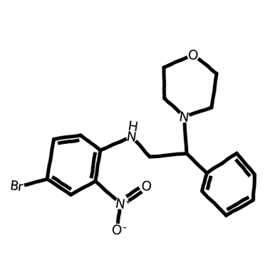 O=[N+]([O-])c1cc(Br)ccc1NCC(c1ccccc1)N1CCOCC1